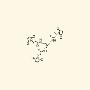 CC(CC(=O)NCCN(CCNC(=O)CC(C)N1C(=O)C=CC1=O)CCNC(=O)CC(C)N1C(=O)C=CC1=O)N1C(=O)C=CC1=O